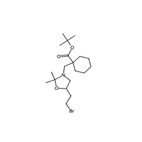 CC(C)(C)OC(=O)C1(CN2CC(CCBr)OC2(C)C)CCCCC1